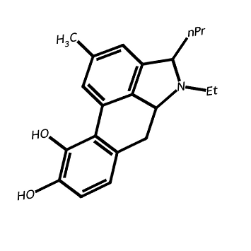 CCCC1c2cc(C)cc3c2C(Cc2ccc(O)c(O)c2-3)N1CC